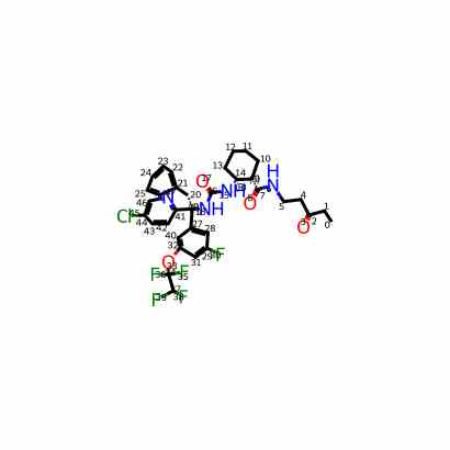 CCC(=O)CCNC(=O)[C@H]1CCCC[C@H]1NC(=O)N[C@@](Cc1ccccc1)(c1cc(F)cc(OC(F)(F)C(F)F)c1)c1ccc(Cl)cn1